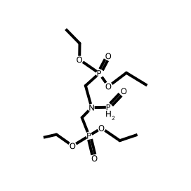 CCOP(=O)(CN(CP(=O)(OCC)OCC)[PH2]=O)OCC